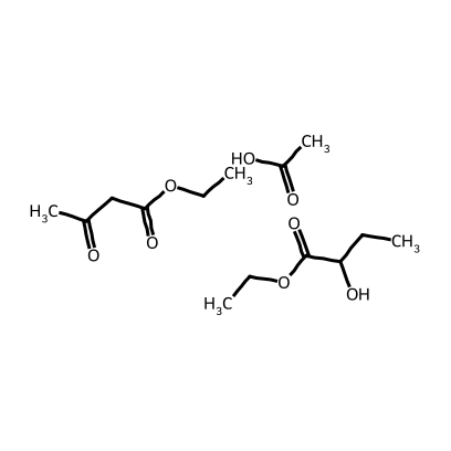 CC(=O)O.CCOC(=O)C(O)CC.CCOC(=O)CC(C)=O